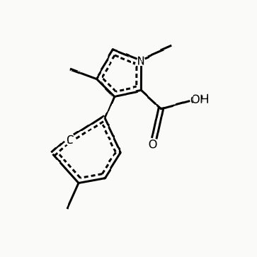 Cc1ccc(-c2c(C)cn(C)c2C(=O)O)cc1